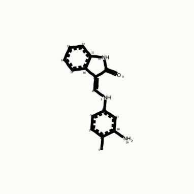 Cc1ccc(NC=C2C(=O)Nc3ccccc32)cc1N